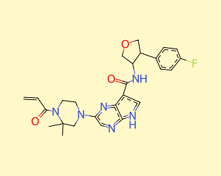 C=CC(=O)N1CCN(c2cnc3[nH]cc(C(=O)NC4COCC4c4ccc(F)cc4)c3n2)CC1(C)C